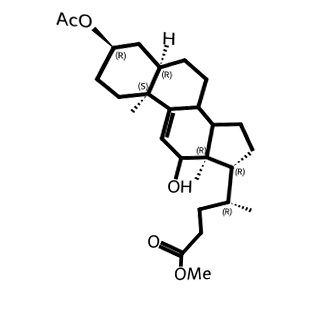 COC(=O)CC[C@@H](C)[C@H]1CCC2C3CC[C@@H]4C[C@H](OC(C)=O)CC[C@]4(C)C3=CC(O)[C@@]21C